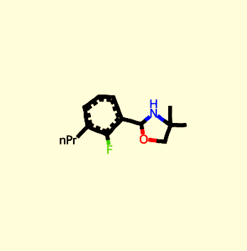 [CH2]CCc1cccc(C2NC(C)(C)CO2)c1F